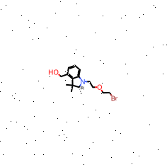 C[C@H]1N(CCOCCBr)c2cccc(CO)c2C1(C)C